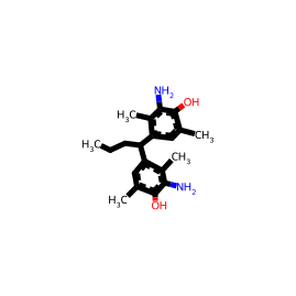 CCCC(c1cc(C)c(O)c(N)c1C)c1cc(C)c(O)c(N)c1C